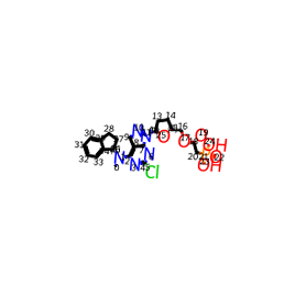 CN(c1nc(Cl)nc2c1cnn2[C@H]1CC[C@@H](COC(=O)CP(=O)(O)O)O1)[C@H]1CCc2ccccc21